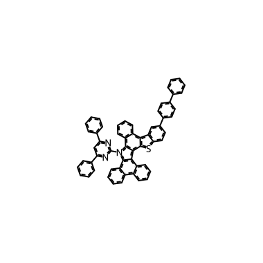 c1ccc(-c2ccc(-c3ccc4sc5c(c4c3)c3ccccc3c3c5c4c5ccccc5c5ccccc5c4n3-c3nc(-c4ccccc4)cc(-c4ccccc4)n3)cc2)cc1